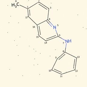 Cc1ccc2nc(Nc3ccccc3)ccc2c1